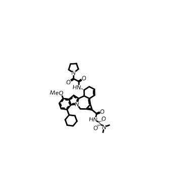 COc1ccc(C2CCCCC2)c2c1cc1n2CC2=C(C(=O)NS(=O)(=O)N(C)C)C2=C2C=CC[C@@H](NC(=O)C(=O)N3CCCC3)C21